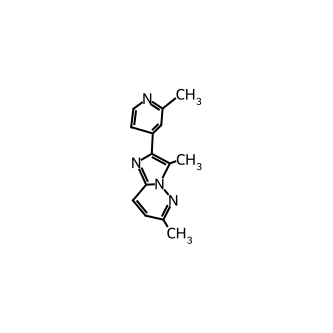 Cc1cc(-c2nc3ccc(C)nn3c2C)ccn1